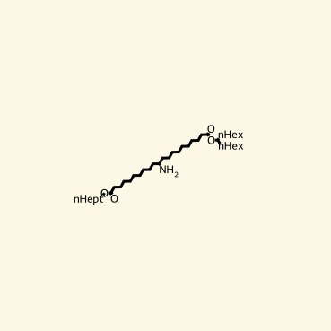 CCCCCCCOC(=O)CCCCCCCCCC(N)CCCCCCCCCC(=O)OC(CCCCCC)CCCCCC